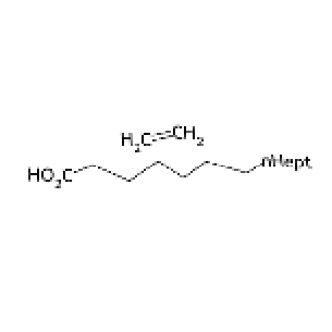 C=C.CCCCCCCCCCCCCC(=O)O